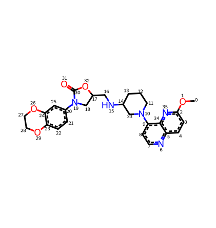 COc1ccc2nccc(N3CCCC(NCC4CN(c5ccc6c(c5)OCCO6)C(=O)O4)C3)c2n1